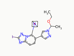 CCOC(C)n1cc(-c2ccc3nc(I)nn3c2N2CC3CC2C3)cn1